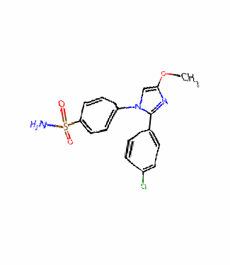 COc1cn(-c2ccc(S(N)(=O)=O)cc2)c(-c2ccc(Cl)cc2)n1